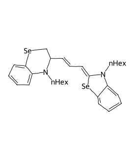 CCCCCCN1C(=CC=CC2C[Se]c3ccccc3N2CCCCCC)[Se]c2ccccc21